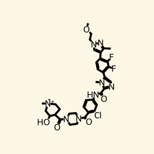 COCCn1cc(-c2ccc(-c3cnc(C(=O)Nc4ccc(C(=O)N5CCN(C(=O)C6CC[N+](C)(C)CC6O)CC5)c(Cl)c4)n3C)c(F)c2F)c(C)n1